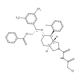 Cc1ccccc1[C@H]1[C@@H]2CN(C(=O)NC(=O)CCl)C[C@H]2CC[C@@H]1O[C@H](COC(=O)c1ccccc1)c1cc(C(F)(F)F)cc(C(F)(F)F)c1